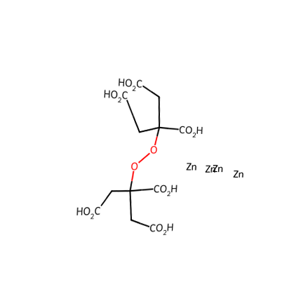 O=C(O)CC(CC(=O)O)(OOC(CC(=O)O)(CC(=O)O)C(=O)O)C(=O)O.[Zn].[Zn].[Zn].[Zn]